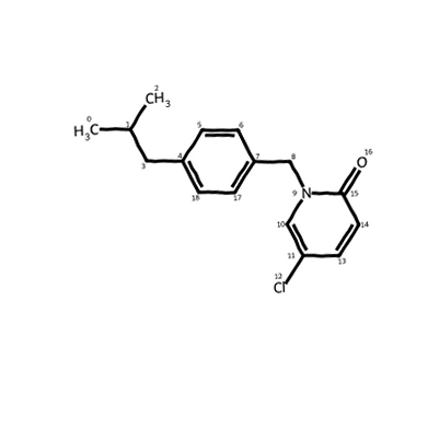 CC(C)Cc1ccc(Cn2cc(Cl)ccc2=O)cc1